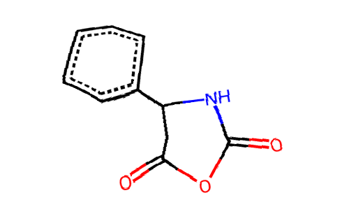 O=C1NC(c2ccccc2)C(=O)O1